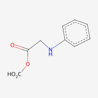 O=C(O)OC(=O)CNc1ccccc1